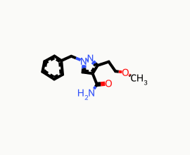 COCCc1nn(Cc2ccccc2)cc1C(N)=O